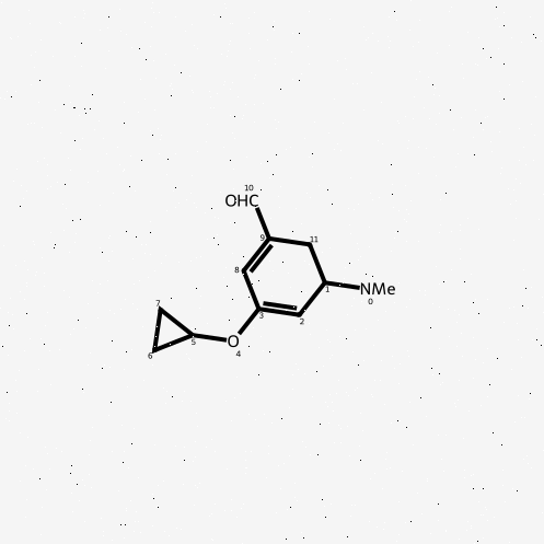 CNC1C=C(OC2CC2)C=C(C=O)C1